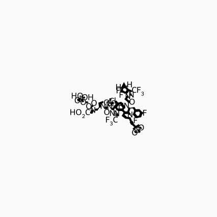 CC(C)(C#Cc1ccc(-c2ccc(Cl)c3c(N(C(=O)N4CC[C@@H]4CN(CC(=O)O)C(=O)OCOP(=O)(O)O)S(C)(=O)=O)nn(CC(F)(F)F)c23)c([C@H](Cc2cc(F)cc(F)c2)NC(=O)Cn2nc(C(F)(F)F)c3c2C(F)(F)[C@@H]2C[C@H]32)n1)S(C)(=O)=O